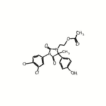 CC(=O)OCCN1C(=O)N(c2ccc(Cl)c(Cl)c2)C(=O)C1(C)c1ccc(O)cc1